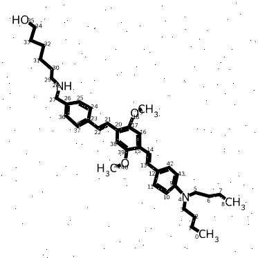 CCCCN(CCCC)c1ccc(C=Cc2cc(OC)c(C=Cc3ccc(CNCCCCCCO)cc3)cc2OC)cc1